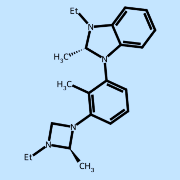 CCN1CN(c2cccc(N3c4ccccc4N(CC)[C@H]3C)c2C)[C@H]1C